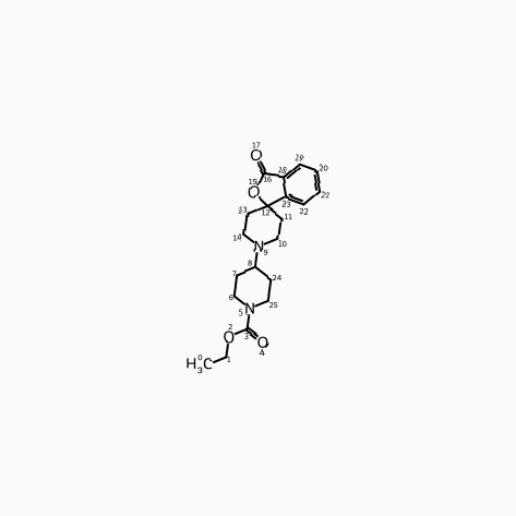 CCOC(=O)N1CCC(N2CCC3(CC2)OC(=O)c2ccccc23)CC1